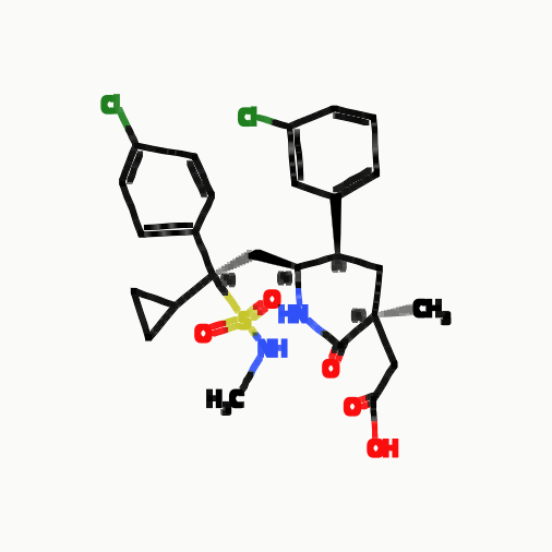 CNS(=O)(=O)[C@](C[C@@H]1NC(=O)[C@](C)(CC(=O)O)C[C@@H]1c1cccc(Cl)c1)(c1ccc(Cl)cc1)C1CC1